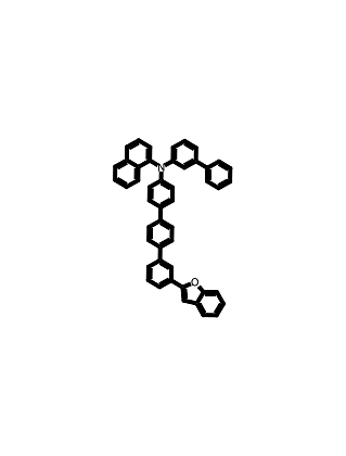 c1ccc(-c2cccc(N(c3ccc(-c4ccc(-c5cccc(-c6cc7ccccc7o6)c5)cc4)cc3)c3cccc4ccccc34)c2)cc1